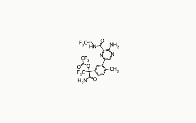 Cc1ccc(C(OC(=O)C(F)(F)F)(C(N)=O)C(F)(F)F)cc1-c1cnc(N)c(C(=O)NCC(F)(F)F)n1